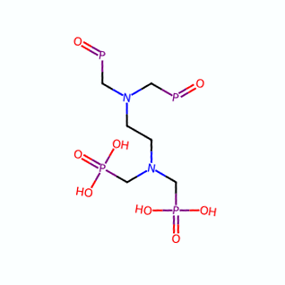 O=PCN(CCN(CP(=O)(O)O)CP(=O)(O)O)CP=O